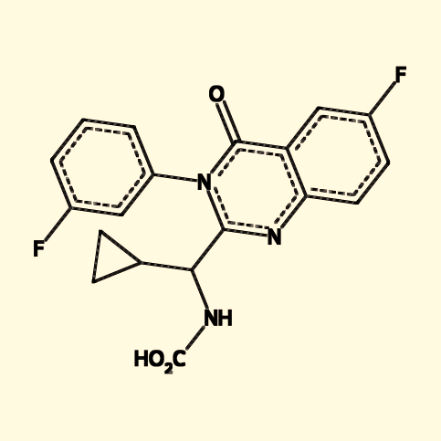 O=C(O)NC(c1nc2ccc(F)cc2c(=O)n1-c1cccc(F)c1)C1CC1